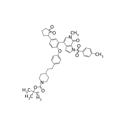 Cc1ccc(S(=O)(=O)n2ccc3c(-c4cc(C5CCCS5(=O)=O)ccc4Oc4ccc(CCC5CCN(C(=O)OC(C)(C)C)CC5)cc4)cn(C)c(=O)c32)cc1